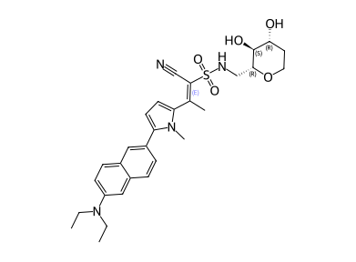 CCN(CC)c1ccc2cc(-c3ccc(/C(C)=C(\C#N)S(=O)(=O)NC[C@H]4OCC[C@@H](O)[C@@H]4O)n3C)ccc2c1